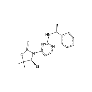 CC[C@@H]1N(c2ccnc(N[C@@H](C)c3ccccc3)n2)C(=O)OC1(C)C